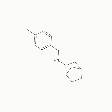 Cc1ccc(CNC2CC3CCC2C3)cc1